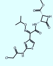 COC(=O)[C@@H]1NC(=O)[C@@H]1NC(=O)C(=NOC(C)C)c1csc(NC(=O)CCl)n1